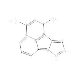 CC1C=C(C(=O)O)c2cccc3c2=C1C1=CN=NC=31